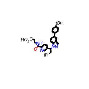 CC(C)CC(c1ccc(C(=O)NCCC(=O)O)nc1)n1ncc2cc(-c3ccc(C(C)(C)C)cc3)ccc21